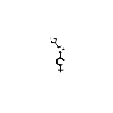 FC(F)(F)c1ccc(-c2nc(C3CNC3)no2)cn1